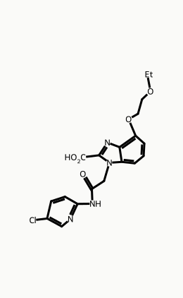 CCOCCOc1cccc2c1nc(C(=O)O)n2CC(=O)Nc1ccc(Cl)cn1